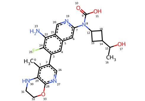 Cc1c(-c2cc3cc(N(C(=O)O)C4CC(C(C)O)C4)ncc3c(N)c2F)cnc2c1NCCO2